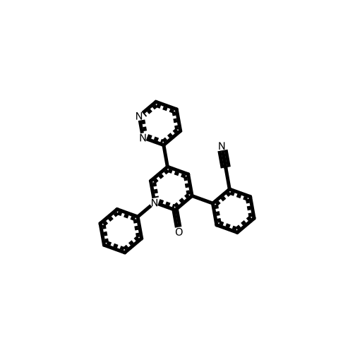 N#Cc1ccccc1-c1cc(-c2cccnn2)cn(-c2ccccc2)c1=O